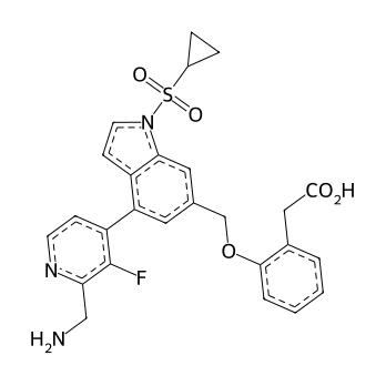 NCc1nccc(-c2cc(COc3ccccc3CC(=O)O)cc3c2ccn3S(=O)(=O)C2CC2)c1F